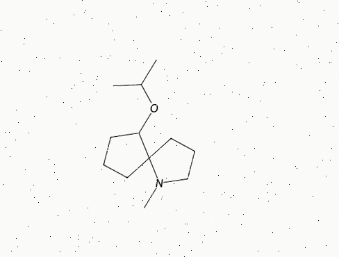 CC(C)OC1CCCC12CCCN2C